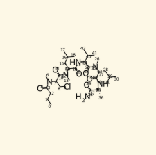 CCCC(=O)N(C)C(CCl)C(=O)N(C)[C@@H](CC(C)C)C(=O)N[C@H](C(=O)N(C)[C@@H](CC(C)C)C(=O)N[C@H](C)C(N)=O)C(C)C